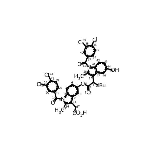 CCC(C)C(C(=O)Oc1ccc2c(c1)c(CC(=O)O)c(C)n2C(=O)c1ccc(Cl)c(Cl)c1)c1c(C)n(C(=O)c2ccc(Cl)c(Cl)c2)c2ccc(O)cc12